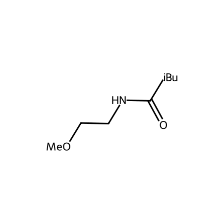 CCC(C)C(=O)NCCOC